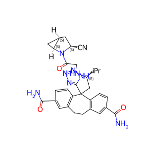 CC(C)[C@@H](CC1(c2nnn[nH]2)c2ccc(C(N)=O)cc2CCc2cc(C(N)=O)ccc21)NCC(=O)N1[C@H](C#N)C[C@@H]2C[C@@H]21